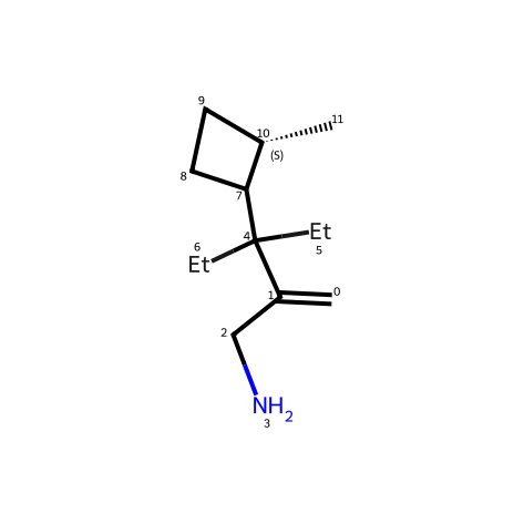 C=C(CN)C(CC)(CC)C1CC[C@@H]1C